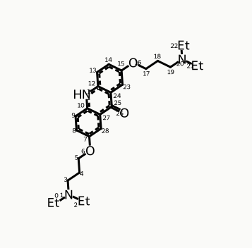 CCN(CC)CCCOc1ccc2[nH]c3ccc(OCCCN(CC)CC)cc3c(=O)c2c1